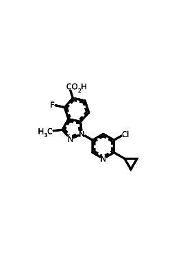 Cc1nn(-c2cnc(C3CC3)c(Cl)c2)c2ccc(C(=O)O)c(F)c12